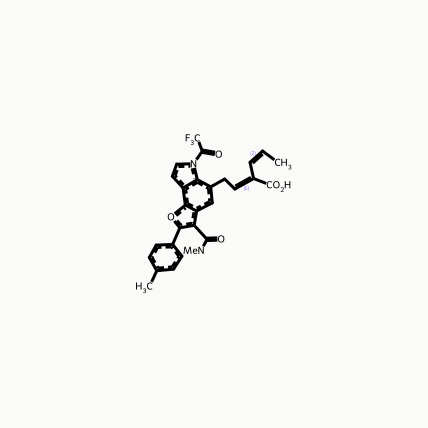 C/C=C\C(=C/Cc1cc2c(C(=O)NC)c(-c3ccc(C)cc3)oc2c2ccn(C(=O)C(F)(F)F)c12)C(=O)O